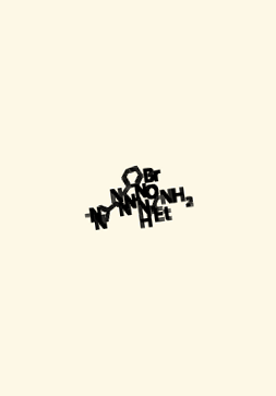 CC[C@@H](Nc1nc2c(Br)cccc2c2nc(-c3cnn(C)c3)nn12)C(N)=O